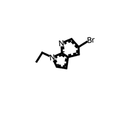 CCn1ccc2cc(Br)cnc21